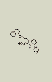 O=C(O)c1[nH]c2c(N3CCOCC3)cccc2c1CCCOc1cccc2ccccc12